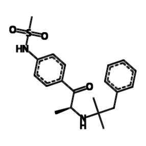 C[C@H](NC(C)(C)Cc1ccccc1)C(=O)c1ccc(NS(C)(=O)=O)cc1